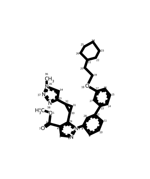 COC(=O)c1cnn(-c2cccc(-c3cccc(OCCC4CCCCC4)c3)c2)c1C1CC1c1cn(C)nn1